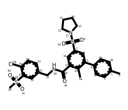 Cc1ccc(-c2cc(S(=O)(=O)N3CCCC3)cc(C(=O)NCc3ccc(Cl)c(S(C)(=O)=O)c3)c2C)cc1